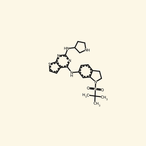 CC(C)(C)S(=O)(=O)N1CCc2ccc(Nc3nc(NC4CCNC4)nc4sccc34)cc21